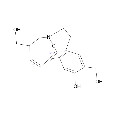 OCc1cc2c(cc1O)C1=C\CN(CC2)CC(CO)/C=C\1